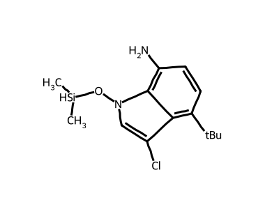 C[SiH](C)On1cc(Cl)c2c(C(C)(C)C)ccc(N)c21